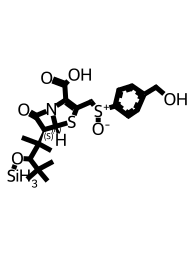 CC(C)(C)C(O[SiH3])C(C)(C)[C@H]1C(=O)N2C(C(=O)O)=C(C[S+]([O-])c3ccc(CO)cc3)S[C@H]12